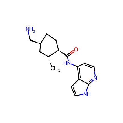 C[C@@H]1C[C@@H](CN)CC[C@H]1C(=O)Nc1ccnc2[nH]ccc12